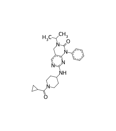 CC(C)N1Cc2cnc(NC3CCN(C(=O)C4CC4)CC3)nc2N(c2ccccc2)C1=O